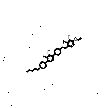 CCCCCC1CCC(c2ccc(C3CCC(CCc4ccc(OCC)c(F)c4F)CC3)c(F)c2F)CC1